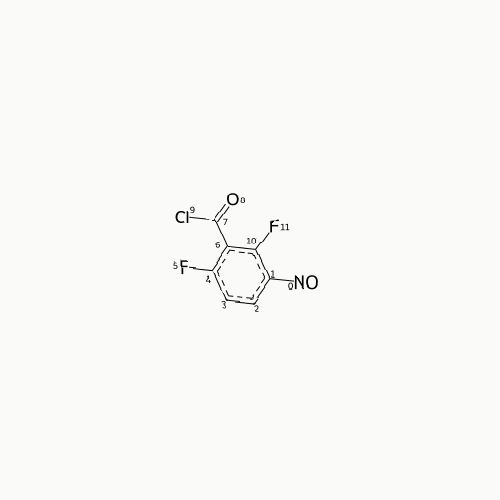 O=Nc1ccc(F)c(C(=O)Cl)c1F